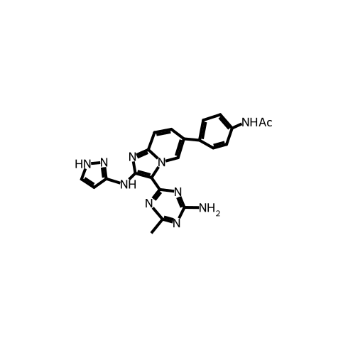 CC(=O)Nc1ccc(-c2ccc3nc(Nc4cc[nH]n4)c(-c4nc(C)nc(N)n4)n3c2)cc1